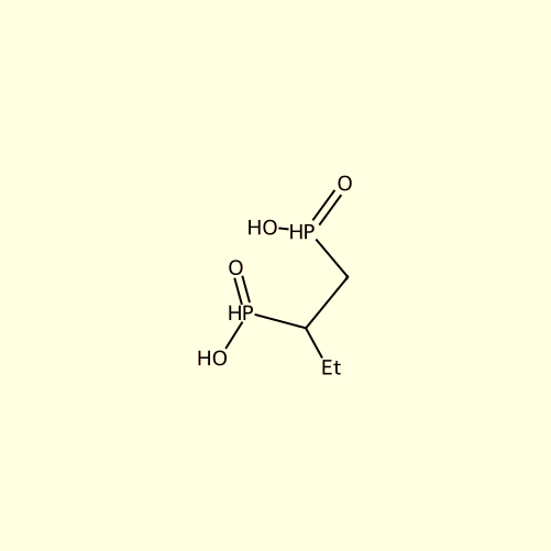 CCC(C[PH](=O)O)[PH](=O)O